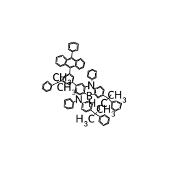 CC(C)(c1ccccc1)c1cc(-c2cc3c4c(c2)N(c2ccccc2)c2ccc(C(C)(C)c5ccccc5)cc2B4c2cc(C(C)(C)c4ccccc4)ccc2N3c2ccccc2)cc(-c2c3ccccc3c(-c3ccccc3)c3ccccc23)c1